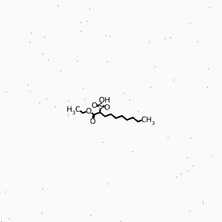 CCCCCCCCC(C(=O)OCC)S(=O)(=O)O